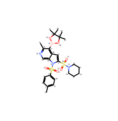 Cc1ccc(S(=O)(=O)n2c(S(=O)(=O)N3CCCCC3)cc3c(B4OC(C)(C)C(C)(C)O4)c(C)ncc32)cc1